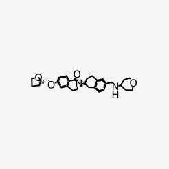 O=C1c2ccc(OC[C@@H]3CCCO3)cc2CCN1[C@H]1CCc2cc(CNC3CCOCC3)ccc2C1